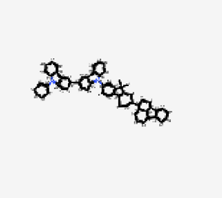 CC1(C)c2cc(-c3ccc4c5c(cccc35)-c3ccccc3-4)ccc2-c2ccc(-n3c4ccccc4c4cc(-c5ccc6c(c5)c5ccccc5n6-c5ccccc5)ccc43)cc21